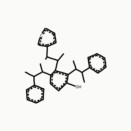 CC(c1ccccc1)C(C)c1ccc(O)c(C(C)C(C)c2ccccc2)c1C(C)C(C)c1ccccc1